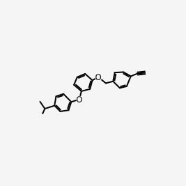 C#Cc1ccc(COc2cccc(Oc3ccc(C(C)C)cc3)c2)cc1